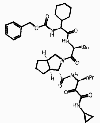 CCC[C@H](NC(=O)[C@@H]1[C@H]2CCC[C@H]2CN1C(=O)[C@@H](NC(=O)[C@@H](NC(=O)OCc1ccccc1)C1CCCCC1)C(C)(C)C)C(=O)C(=O)NC1CC1